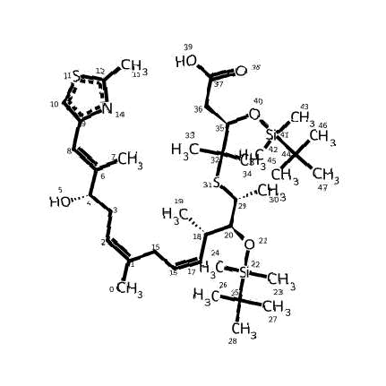 C/C(=C/C[C@H](O)/C(C)=C/c1csc(C)n1)C/C=C\[C@H](C)[C@H](O[Si](C)(C)C(C)(C)C)[C@@H](C)SC(C)(C)[C@@H](CC(=O)O)O[Si](C)(C)C(C)(C)C